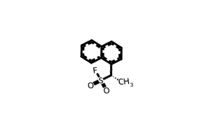 C[C@@H](c1cccc2ccccc12)S(=O)(=O)F